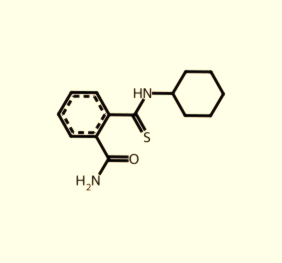 NC(=O)c1ccccc1C(=S)NC1CCCCC1